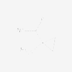 CCC(C#N)C1(C(=O)O)CC1